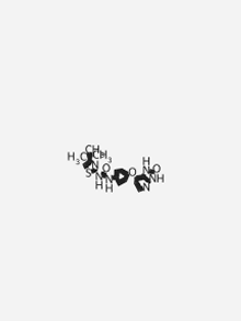 CC(C)(C)c1csc(NC(=O)Nc2ccc(Oc3ccnc4[nH]c(=O)[nH]c34)cc2)n1